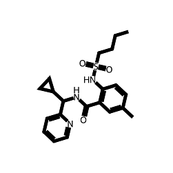 CCCCS(=O)(=O)Nc1ccc(C)cc1C(=O)NC(c1ccccn1)C1CC1